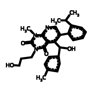 Cc1ccc(C(O)c2c(-c3ccccc3C(C)C)cnc3c2c(=O)n(CCCO)c(=O)n3C)cc1